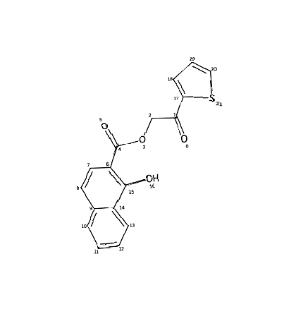 O=C(COC(=O)c1ccc2ccccc2c1O)c1cccs1